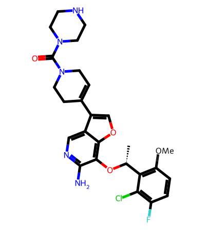 COc1ccc(F)c(Cl)c1[C@@H](C)Oc1c(N)ncc2c(C3=CCN(C(=O)N4CCNCC4)CC3)coc12